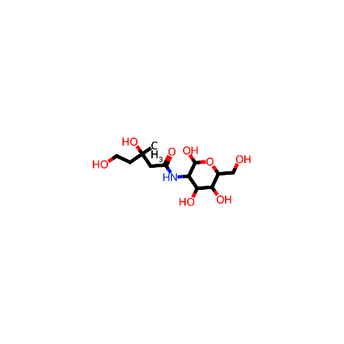 CC(O)(CCO)CC(=O)NC1C(O)OC(CO)C(O)C1O